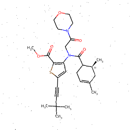 COC(=O)c1sc(C#CC(C)(C)C)cc1N(CC(=O)N1CCOCC1)C(=O)C1CC=C(C)C[C@@H]1C